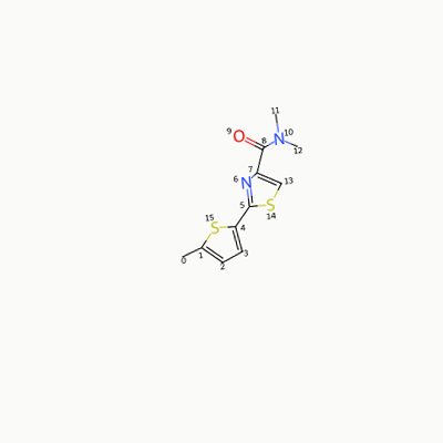 Cc1ccc(-c2nc(C(=O)N(C)C)cs2)s1